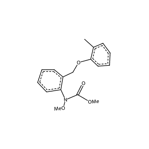 COC(=O)N(OC)c1ccccc1COc1ccccc1C